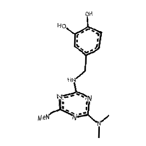 CNc1nc(NCc2ccc(O)c(O)c2)nc(N(C)C)n1